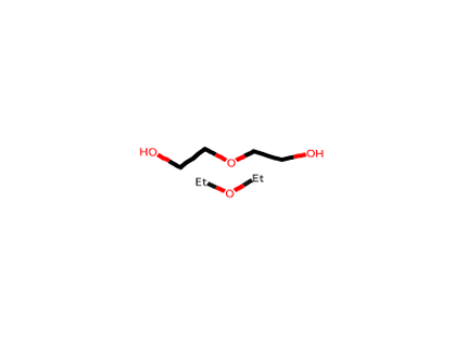 CCOCC.OCCOCCO